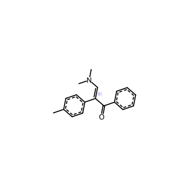 Cc1ccc(/C(=C\N(C)C)C(=O)c2ccccc2)cc1